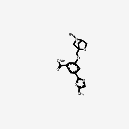 COC(=O)c1cc(OCC23CC(CO2)N(C(C)C)C3)cc(-c2ncc(C)s2)c1